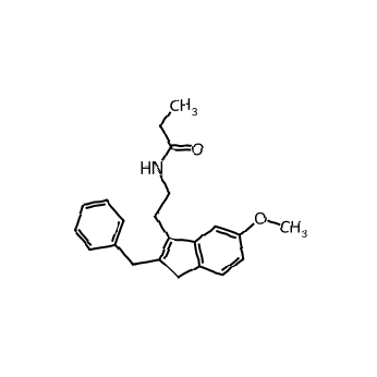 CCC(=O)NCCC1=C(Cc2ccccc2)Cc2ccc(OC)cc21